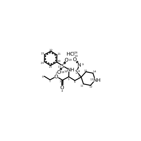 CCOC(=O)C(CC1(SN=O)CCNCC1)NS(=O)(=O)c1ccccc1.Cl